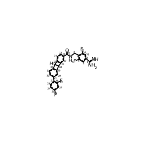 N=C(N)c1cc(F)c(CNC(=O)c2ccc3c(c2)C2c4cc(-c5ccc(F)cc5F)ccc4[C@@H]32)c(F)c1